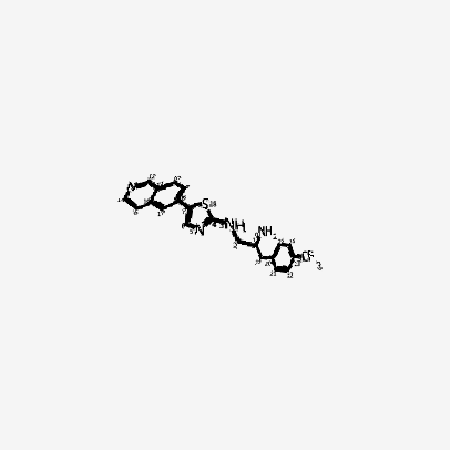 NC(CNc1ncc(-c2ccc3cnccc3c2)s1)Cc1ccc(C(F)(F)F)cc1